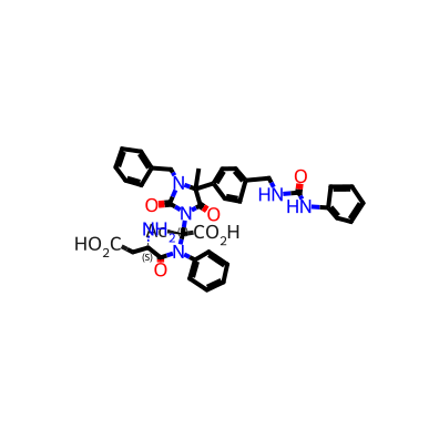 CC(=O)[C@](C(=O)O)(N1C(=O)N(Cc2ccccc2)C(C)(c2ccc(CNC(=O)Nc3ccccc3)cc2)C1=O)N(C(=O)[C@@H](N)CC(=O)O)c1ccccc1